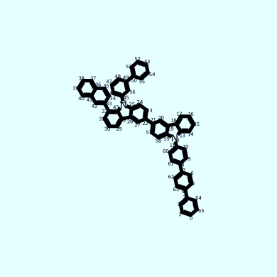 c1ccc(-c2ccc(-c3ccc(-n4c5ccccc5c5cc(-c6ccc7c(c6)c6cccc(-c8ccc9ccccc9c8)c6n7-c6cccc(-c7ccccc7)c6)ccc54)cc3)cc2)cc1